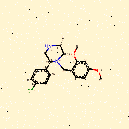 COc1ccc(CN2C[C@@H](C)NC[C@@H]2c2ccc(Cl)cc2)c(OC)c1